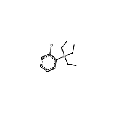 CC[Si](CC)(CC)c1ccccc1Cl